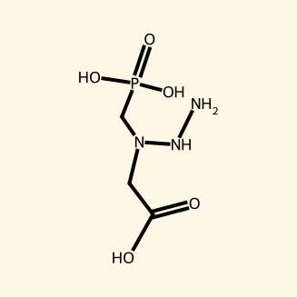 NNN(CC(=O)O)CP(=O)(O)O